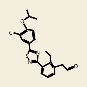 CCc1c(CC=O)cccc1-c1nsc(-c2ccc(OC(C)C)c(Cl)c2)n1